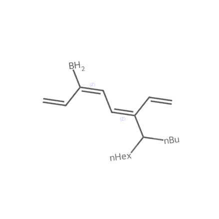 B/C(C=C)=C/C=C(\C=C)C(CCCC)CCCCCC